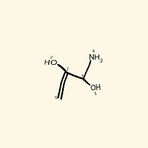 C=C(O)[C](N)O